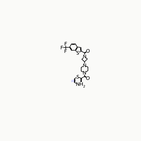 C=C(S/C=C\N)C(=O)N1CCN(C2CN(C(=O)c3cc4ccc(C(F)(F)F)cc4s3)C2)CC1